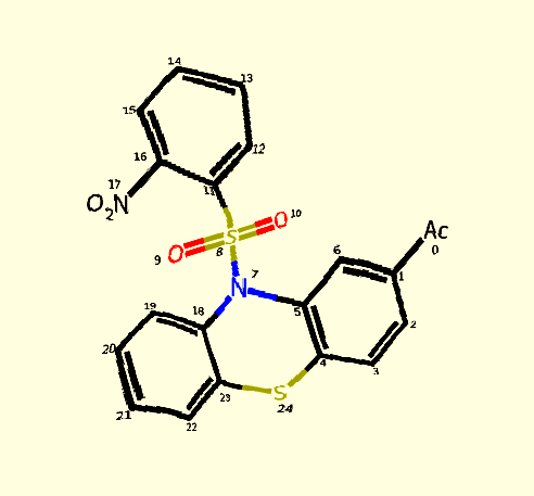 CC(=O)c1ccc2c(c1)N(S(=O)(=O)c1ccccc1[N+](=O)[O-])c1ccccc1S2